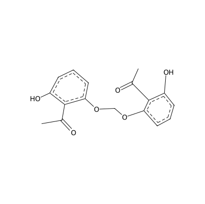 CC(=O)c1c(O)cccc1OCOc1cccc(O)c1C(C)=O